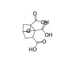 O=C(O)C1CC23COC1(C(=O)O)C(C(=O)O)(C2)C3